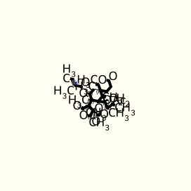 C=C1C23O[C@]4(C(=O)O[C@](C)(C(=C)C)[C@@H]2OC(C)=O)[C@H](C)OC(=O)[C@]4(C)[C@]3(C)[C@@H](OC(=O)/C(C)=C/C)C[C@]12CCC(=O)OC2(C)C